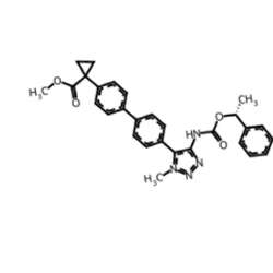 COC(=O)C1(c2ccc(-c3ccc(-c4c(NC(=O)O[C@H](C)c5ccccc5)nnn4C)cc3)cc2)CC1